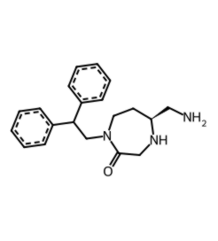 NC[C@@H]1CCN(CC(c2ccccc2)c2ccccc2)C(=O)CN1